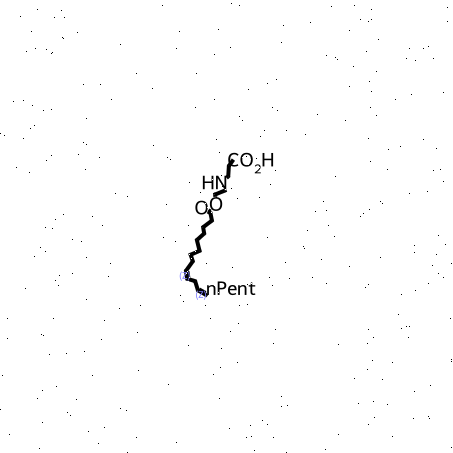 CCCCC/C=C\C/C=C\CCCCCCCC(=O)OCCNCCC(=O)O